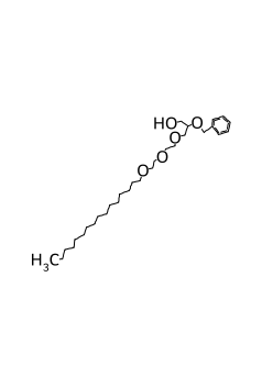 CCCCCCCCCCCCCCCCOCCOCCOCC(CO)OCc1ccccc1